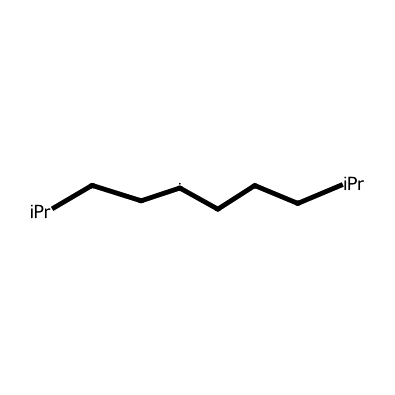 CC(C)CC[CH]CCCC(C)C